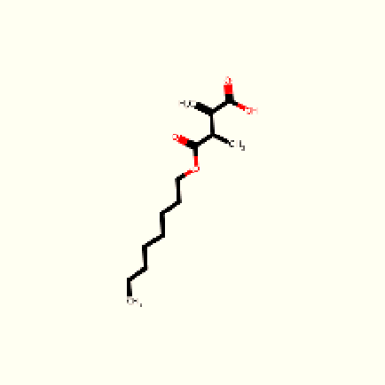 C=C(C(=O)O)C(C)C(=O)OCCCCCCCC